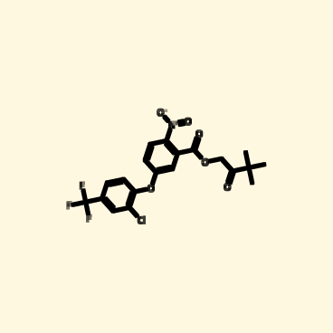 CC(C)(C)C(=O)COC(=O)c1cc(Oc2ccc(C(F)(F)F)cc2Cl)ccc1[N+](=O)[O-]